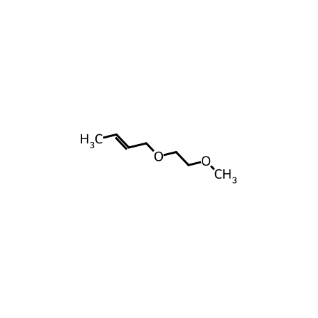 CC=CCOCCOC